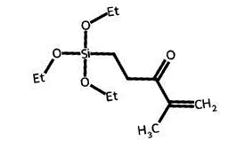 C=C(C)C(=O)CC[Si](OCC)(OCC)OCC